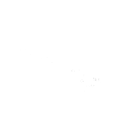 CCCCCCCCCCOCC(CN)OC(C)=O